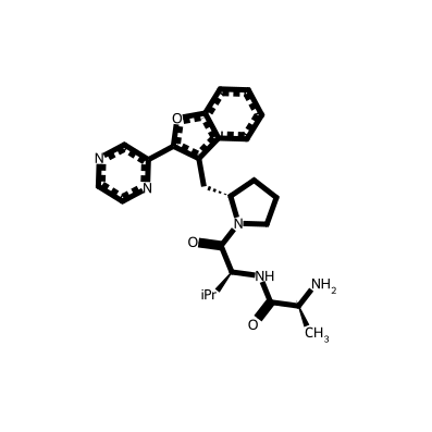 CC(C)[C@H](NC(=O)[C@H](C)N)C(=O)N1CCC[C@H]1Cc1c(-c2cnccn2)oc2ccccc12